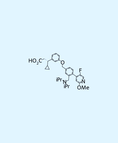 COc1cc(-c2ccc(COc3cccc([C@@H](CC(=O)O)C4CC4)c3)cc2CN(C(C)C)C(C)C)c(F)cn1